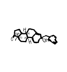 C[C@]12CC[C@@H]3C4=CCC(O)(Cc5ccccc5)C=C4CC[C@H]3[C@@H]1CCC2=O